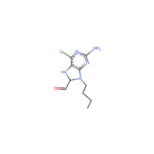 CCCCN1c2nc(N)nc(Cl)c2NC1C=O